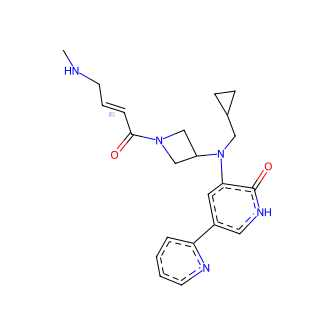 CNC/C=C/C(=O)N1CC(N(CC2CC2)c2cc(-c3ccccn3)c[nH]c2=O)C1